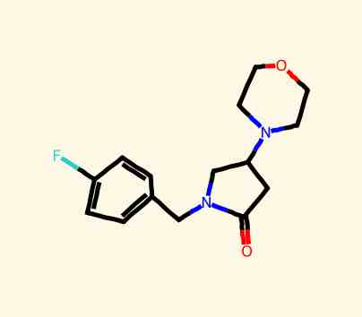 O=C1CC(N2CCOCC2)CN1Cc1ccc(F)cc1